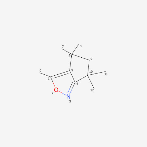 Cc1onc2c1C(C)(C)CC2(C)C